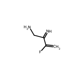 C=C(F)C(=N)CN